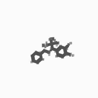 CC(=O)C(C)(C)[C@@H](OCc1ccccc1)c1ccc(F)c(F)c1